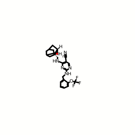 N#Cc1cnc(NCc2ccccc2OC(F)(F)F)nc1NC[C@@]12CC3CC(C1)C(N)[C@H](C3)C2